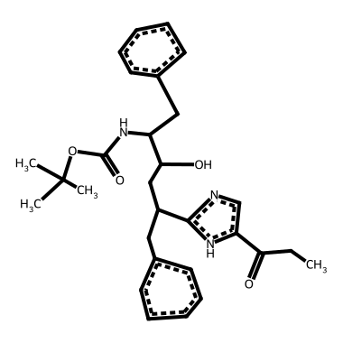 CCC(=O)c1cnc(C(Cc2ccccc2)CC(O)C(Cc2ccccc2)NC(=O)OC(C)(C)C)[nH]1